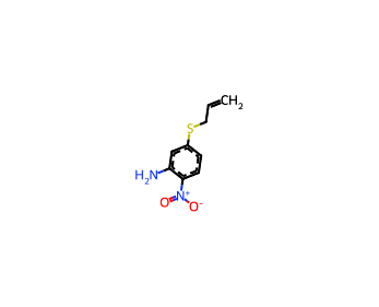 C=CCSc1ccc([N+](=O)[O-])c(N)c1